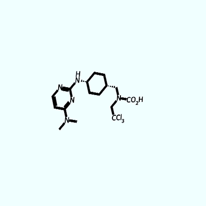 CN(C)c1ccnc(N[C@H]2CC[C@@H](CN(CC(Cl)(Cl)Cl)C(=O)O)CC2)n1